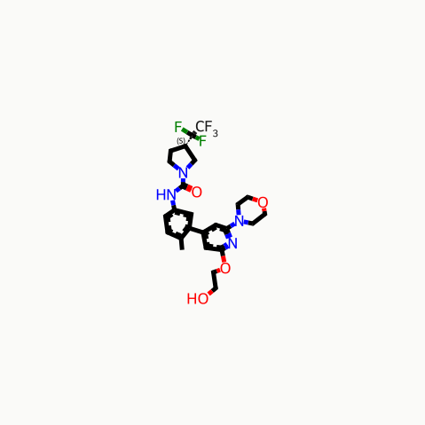 Cc1ccc(NC(=O)N2CC[C@H](C(F)(F)C(F)(F)F)C2)cc1-c1cc(OCCO)nc(N2CCOCC2)c1